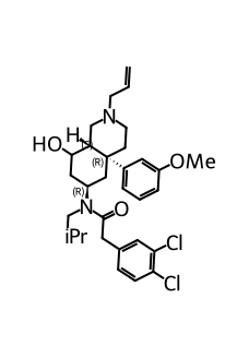 C=CCN1CC[C@@]2(c3cccc(OC)c3)C[C@@H](N(CC(C)C)C(=O)Cc3ccc(Cl)c(Cl)c3)CC(O)[C@@H]2C1